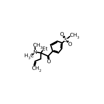 C=CCC(CC)(C(=O)c1ccc(S(C)(=O)=O)cc1)N(C)C